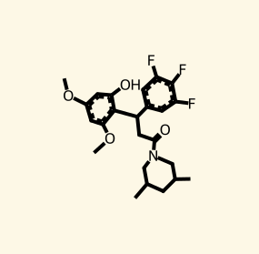 COc1cc(O)c(C(CC(=O)N2CC(C)CC(C)C2)c2cc(F)c(F)c(F)c2)c(OC)c1